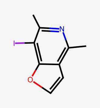 Cc1nc(C)c2ccoc2c1I